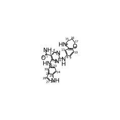 NC(=O)c1cnc(Nc2ccc3c(c2)NCCCO3)nc1Nc1ccc2[nH]ccc2c1